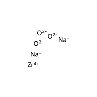 [Na+].[Na+].[O-2].[O-2].[O-2].[Zr+4]